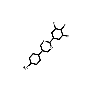 CC1CCC(C2COC(C3CC(F)C(F)C(F)C3)OC2)CC1